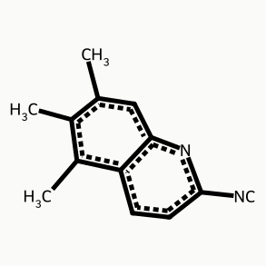 [C-]#[N+]c1ccc2c(C)c(C)c(C)cc2n1